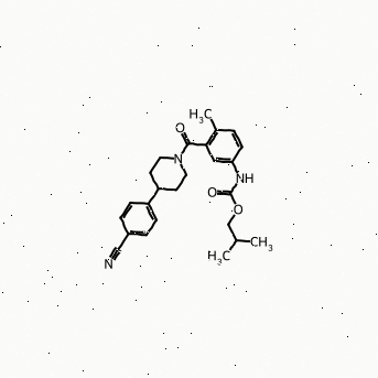 Cc1ccc(NC(=O)OCC(C)C)cc1C(=O)N1CCC(c2ccc(C#N)cc2)CC1